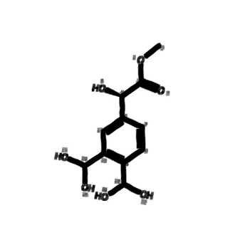 COC(=O)[C@H](O)c1ccc(C(O)O)c(C(O)O)c1